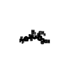 COc1cc(CC(=O)O)ccc1SCc1sc(-c2ccc(C(F)(F)F)cc2)nc1C